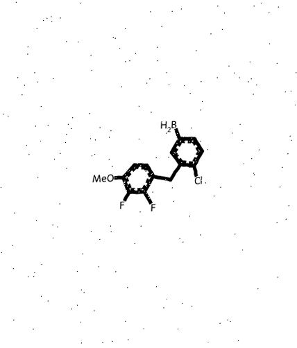 Bc1ccc(Cl)c(Cc2ccc(OC)c(F)c2F)c1